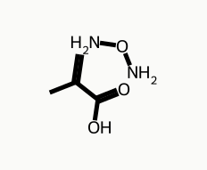 C=C(C)C(=O)O.NON